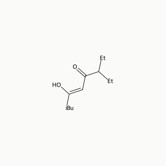 CCC(CC)C(=O)/C=C(\O)C(C)CC